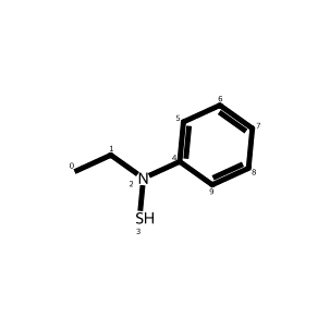 CCN(S)c1ccccc1